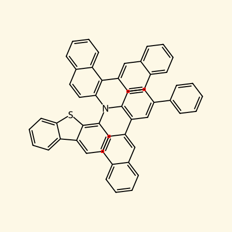 c1ccc(-c2ccc(N(c3ccc4ccccc4c3-c3ccc4ccccc4c3)c3cccc4c3sc3ccccc34)c(-c3ccc4ccccc4c3)c2)cc1